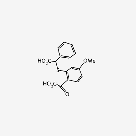 COc1ccc(C(=O)C(=O)O)c(SC(C(=O)O)c2ccccc2)c1